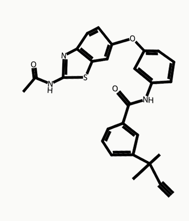 C#CC(C)(C)c1cccc(C(=O)Nc2cccc(Oc3ccc4nc(NC(C)=O)sc4c3)c2)c1